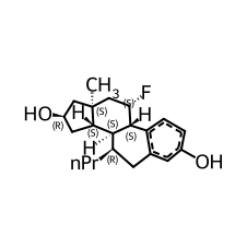 CCC[C@@H]1Cc2cc(O)ccc2[C@@H]2[C@@H]1[C@@H]1C[C@@H](O)C[C@@]1(C)C[C@@H]2F